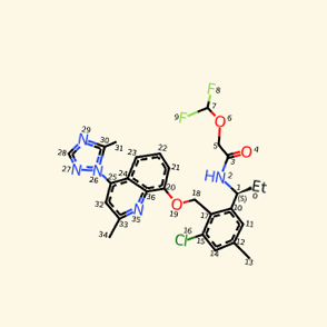 CC[C@H](NC(=O)COC(F)F)c1cc(C)cc(Cl)c1COc1cccc2c(-n3ncnc3C)cc(C)nc12